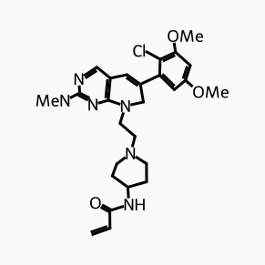 C=CC(=O)NC1CCN(CCN2CC(c3cc(OC)cc(OC)c3Cl)=Cc3cnc(NC)nc32)CC1